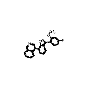 COc1cc(F)ccc1-c1noc2c(-c3cncc4ccccc34)cccc12